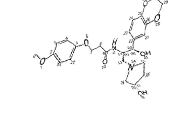 COc1ccc(OCCC(=O)N[C@H](CN2CC[C@H](O)C2)[C@H](O)c2ccc3c(c2)OCCO3)cc1